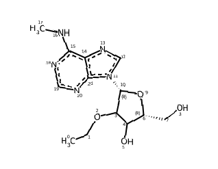 CCOC1C(O)[C@@H](CO)O[C@H]1n1cnc2c(NC)ncnc21